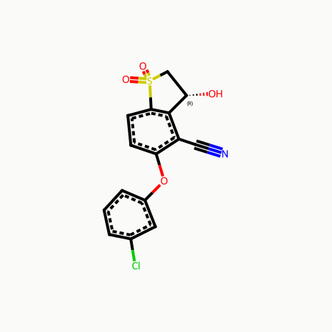 N#Cc1c(Oc2cccc(Cl)c2)ccc2c1[C@@H](O)CS2(=O)=O